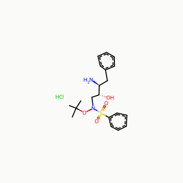 CC(C)(C)ON(C[C@@H](O)[C@@H](N)Cc1ccccc1)S(=O)(=O)c1ccccc1.Cl